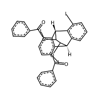 O=C(OC1C(OC(=O)c2ccccc2)[C@H]2c3cccc(I)c3[C@H]1c1c(I)ccc(I)c12)c1ccccc1